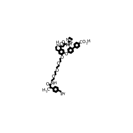 CC(C)Cc1ccc(C(C)C(=O)NCCOCCOCCOCCOc2cc3c(cc2Oc2ccc(-c4ccc(C(=O)O)cc4)c(F)c2)[C@@](C)(CC(=O)Nc2nccs2)NCC3)cc1